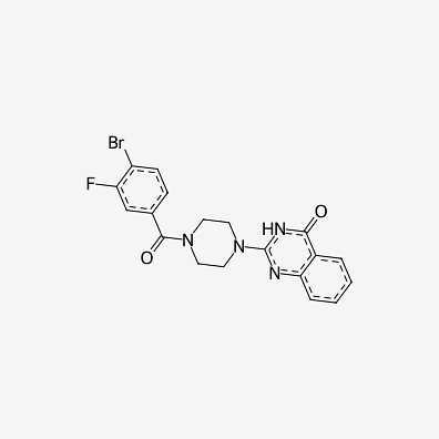 O=C(c1ccc(Br)c(F)c1)N1CCN(c2nc3ccccc3c(=O)[nH]2)CC1